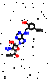 CNC(=O)[C@H]1O[C@@H](n2cnc3c(NCc4cc(OC)ccc4O)ncnc32)[C@H](O)[C@@H]1N